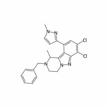 CC1c2c3c(-c4ccn(C)n4)cc(Cl)c(Cl)c3nn2CCN1Cc1ccccc1